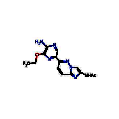 CC(=O)Nc1cn2nc(-c3cnc(N)c(OCC(F)(F)F)n3)ccc2n1